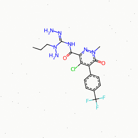 CCCN(N)/C(=N\N)NC(=O)c1nn(C)c(=O)c(-c2ccc(C(F)(F)F)cc2)c1Cl